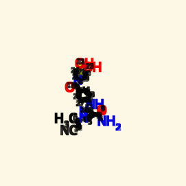 CC(CC#N)n1cc(C(N)=O)c(Nc2ccc(C(=O)N3CCS(O)(O)CC3)cc2)n1